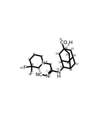 N#C/N=C(\CN1CCCC(F)(F)C1)NC1C2CC3CC1CC(C(=O)O)(C3)C2